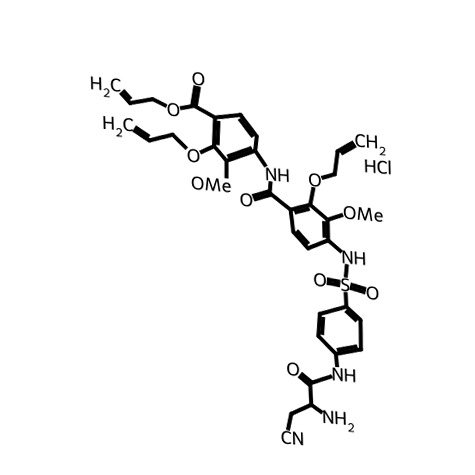 C=CCOC(=O)c1ccc(NC(=O)c2ccc(NS(=O)(=O)c3ccc(NC(=O)C(N)CC#N)cc3)c(OC)c2OCC=C)c(OC)c1OCC=C.Cl